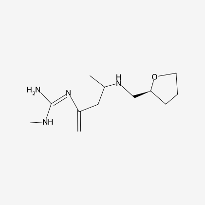 C=C(CC(C)NC[C@@H]1CCCO1)/N=C(/N)NC